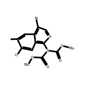 Cc1cc2c(Br)cnc(N(C(=O)OC(C)(C)C)C(=O)OC(C)(C)C)c2cc1Cl